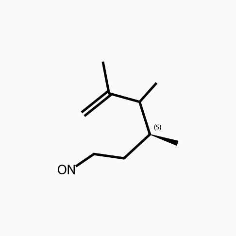 C=C(C)C(C)[C@@H](C)CCN=O